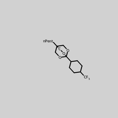 CCCCCC12COC(C3CCC(C(F)(F)F)CC3)(OC1)OC2